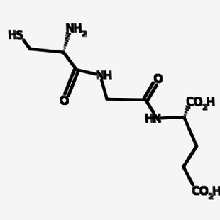 N[C@@H](CS)C(=O)NCC(=O)N[C@@H](CCC(=O)O)C(=O)O